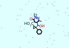 CCn1nc(C)c(C(O)[C@@]2(c3ccccc3)C[C@H]2C(=O)O)cc1=O